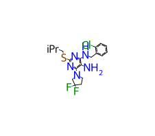 CC(C)CSc1nc(NCc2ccccc2Cl)c(N)c(N2CCC(F)(F)C2)n1